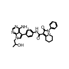 CC(O)Cn1cc(-c2ccc(NC(=O)c3c4n(n(-c5ccccc5)c3=O)CCCC4)cc2)c2c(N)ncnc21